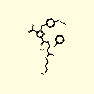 CCCCOC(=O)[C@H](O)[C@@H](Cc1ccccc1)NC(=O)c1cc(C(=O)O)n(Cc2ccc(OC)cc2)n1